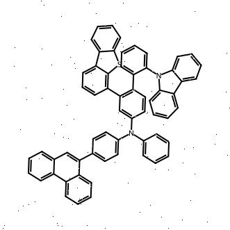 c1ccc(N(c2ccc(-c3cc4ccccc4c4ccccc34)cc2)c2ccc(-c3ccccc3-n3c4ccccc4c4ccccc43)c(-c3cccc4c3sc3ccccc34)c2)cc1